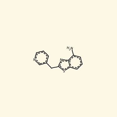 Nc1cccc2sc(Cc3cccnc3)nc12